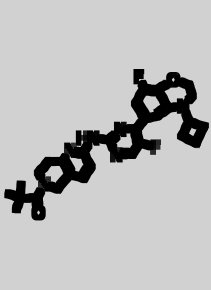 CC(C)(C)C(=O)N1CCc2nc(Nc3ncc(F)c(-c4cc(F)c5c(c4)N(C4CCC4)CCO5)n3)ccc2C1